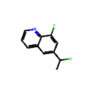 CC(Br)c1cc(F)c2ncccc2c1